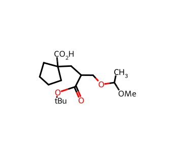 COC(C)OCC(CC1(C(=O)O)CCCC1)C(=O)OC(C)(C)C